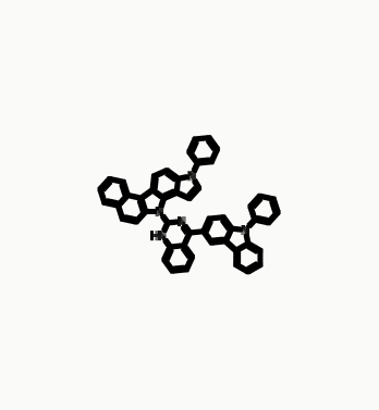 c1ccc(-n2ccc3c2ccc2c4c5ccccc5ccc4n(C4N=C(c5ccc6c(c5)c5ccccc5n6-c5ccccc5)c5ccccc5N4)c23)cc1